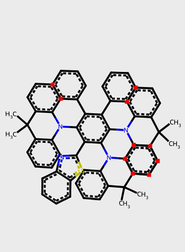 CC1(C)c2ccccc2N(c2c(-c3ccccc3)c(-c3ccccc3)c(N3c4ccccc4C(C)(C)c4ccccc43)c(N3c4ccccc4C(C)(C)c4ccccc43)c2-c2nc3ccccc3s2)c2ccccc21